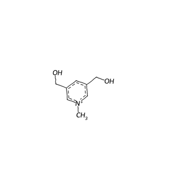 C[n+]1cc(CO)cc(CO)c1